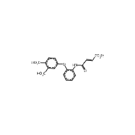 CCOC(=O)C=CC(=O)Nc1ccccc1Oc1ccc(C(=O)OCC)c(C(=O)O)c1